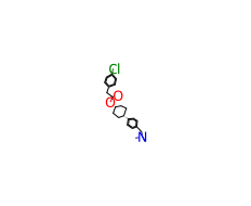 CN(C)Cc1ccc([C@H]2CC[C@H](OC(=O)Cc3ccc(Cl)cc3)CC2)cc1